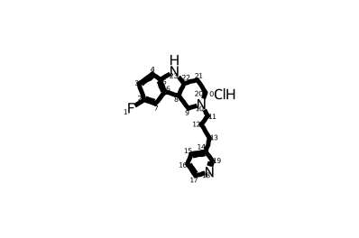 Cl.Fc1ccc2c(c1)C1CN(CCCc3cccnc3)CCC1N2